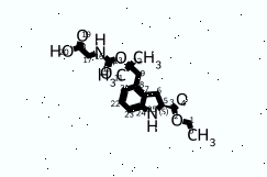 CCOC(=O)[C@@H]1Cc2c(CC(C)(C)OC(=O)NCC(=O)O)cccc2N1